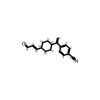 C=C(c1ccc(C#N)cc1)C1CCC(C=CC=O)CC1